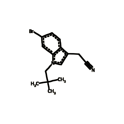 CC(C)(C)Cn1cc(CC#N)c2ccc(Br)cc21